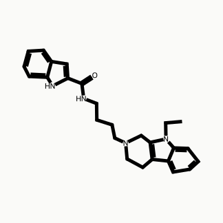 CCn1c2c(c3ccccc31)CCN(CCCCNC(=O)c1cc3ccccc3[nH]1)C2